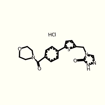 Cl.O=C(c1ccc(-c2ccc(Cn3cn[nH]c3=O)s2)cc1)N1CCOCC1